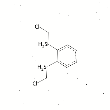 ClC[SiH2]c1ccccc1[SiH2]CCl